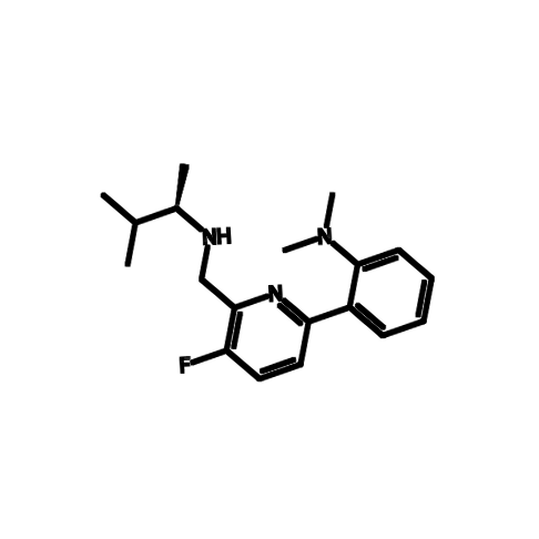 CC(C)[C@@H](C)NCc1nc(-c2ccccc2N(C)C)ccc1F